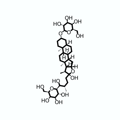 C[C@@H](CC[C@@]1(O)O[C@H]2C[C@H]3[C@@H]4CC[C@@H]5C[C@@H](O[C@@H]6O[C@H](CO)[C@H](O)[C@H](O)[C@H]6O)CC[C@]5(C)[C@H]4CC[C@]3(C)[C@H]2[C@@H]1C)C(O)[C@@H]1O[C@H](CO)[C@H](O)[C@H](O)[C@H]1O